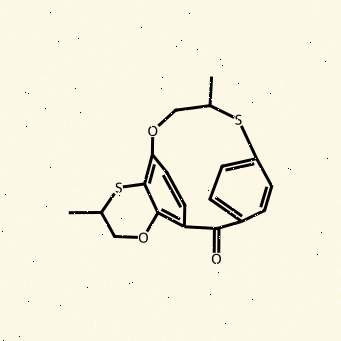 CC1COc2ccc(c3c2SC(C)CO3)C(=O)c2ccc(cc2)S1